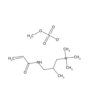 C=CC(=O)NCC(C)C[N+](C)(C)C.COS(=O)(=O)[O-]